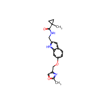 Cc1nc(COc2ccc3cc(CNC(=O)C4(C)CC4)[nH]c3c2)co1